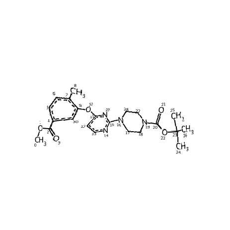 COC(=O)c1ccc(C)c(Oc2ccnc(N3CCN(C(=O)OC(C)(C)C)CC3)n2)c1